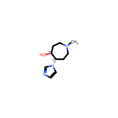 CN1CC[C@H](O)[C@@H](n2ccnc2)CC1